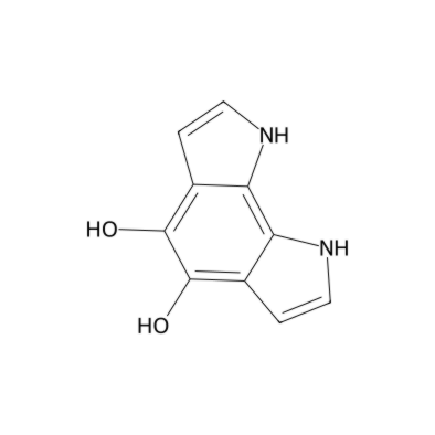 Oc1c(O)c2cc[nH]c2c2[nH]ccc12